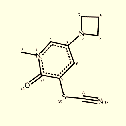 Cn1cc(N2CCC2)cc(SC#N)c1=O